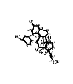 CCOc1ccc([C@H]2C[C@@]3(C)[C@@H](CC[C@@]3(O)C#CC(C)(C)C)[C@@H]3CCC4=CC(=O)CCC4=C32)cc1